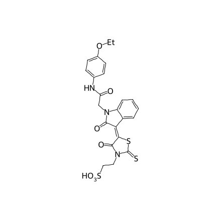 CCOc1ccc(NC(=O)CN2C(=O)/C(=C3/SC(=S)N(CCS(=O)(=O)O)C3=O)c3ccccc32)cc1